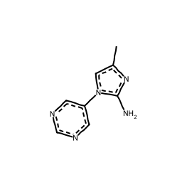 Cc1cn(-c2cncnc2)c(N)n1